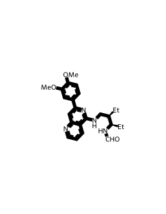 CC[C@H](CNc1nc(-c2ccc(OC)c(OC)c2)cc2ncccc12)[C@@H](CC)NC=O